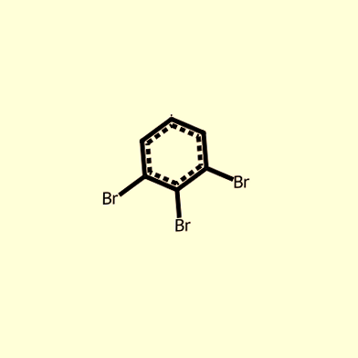 Brc1c[c]cc(Br)c1Br